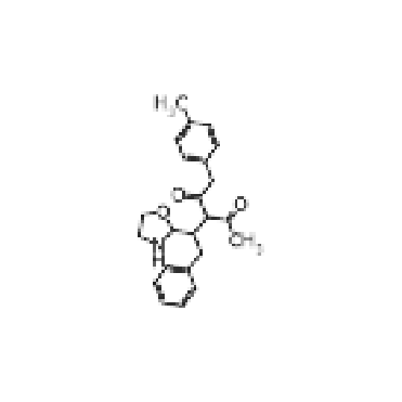 CC(=O)C(C(=O)Cc1ccc(C)cc1)C(Cc1ccccc1)C1NCCO1